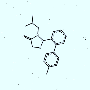 Cc1ccc(-c2cnccc2C2SCC(=O)N2CC(C)C)cc1